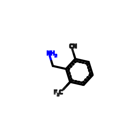 N#Cc1cccc(C(F)(F)F)c1CN